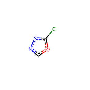 Clc1nn[c]o1